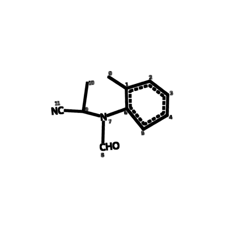 Cc1ccccc1N(C=O)C(C)C#N